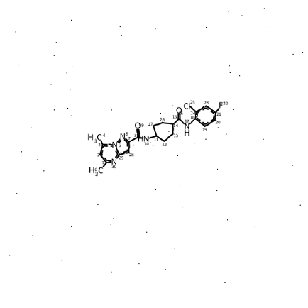 Cc1cc(C)n2nc(C(=O)NC3CCC(C(=O)Nc4ccc(F)cc4Cl)CC3)cc2n1